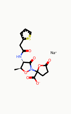 C[C@@H]1ON(C2(C(=O)[O-])CCC(=O)O2)C(=O)[C@H]1NC(=O)Cc1cccs1.[Na+]